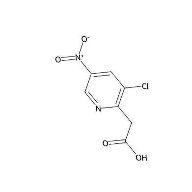 O=C(O)Cc1ncc([N+](=O)[O-])cc1Cl